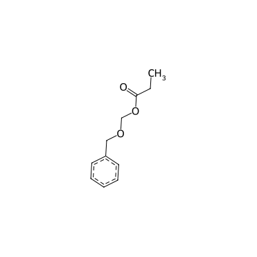 CCC(=O)OCOCc1ccccc1